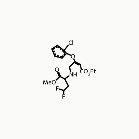 CCOC(=O)C=C(CNC(CC(F)F)C(=O)OC)Oc1ccccc1Cl